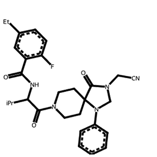 CCc1ccc(F)c(C(=O)NC(C(=O)N2CCC3(CC2)C(=O)N(CC#N)CN3c2ccccc2)C(C)C)c1